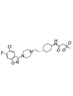 CS(=O)(=O)CC(=O)N[C@H]1CC[C@H](CCN2CCN(c3noc4cc(F)c(Cl)cc34)CC2)CC1